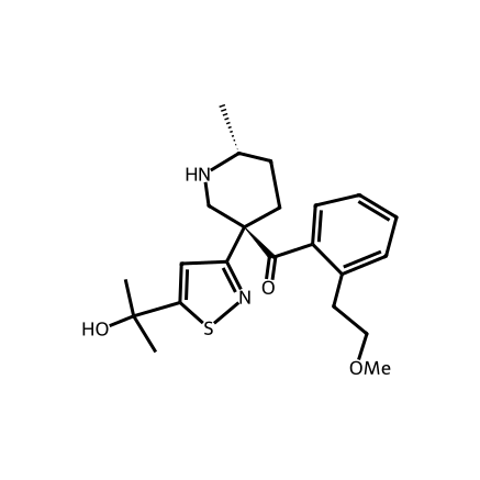 COCCc1ccccc1C(=O)[C@]1(c2cc(C(C)(C)O)sn2)CC[C@@H](C)NC1